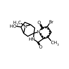 Cc1cc(Br)c(=O)n2c1C(=O)NC21CC2CC(O)C(C1)N2C